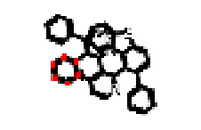 c1ccc(-c2ccnc(-c3c(-c4ccccc4)ccc4sc5ccccc5c34)c2-c2nnnc(-c3ccccc3)c2-c2ccccn2)cc1